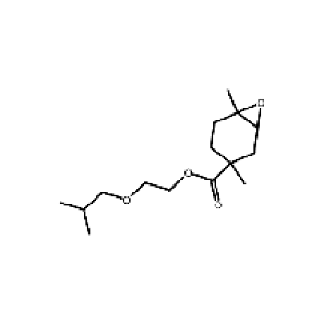 CC(C)COCCOC(=O)C1(C)CCC2(C)OC2C1